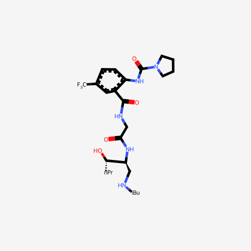 CCC[C@H](O)[C@H](CNC(C)CC)NC(=O)CNC(=O)c1cc(C(F)(F)F)ccc1NC(=O)N1CCCC1